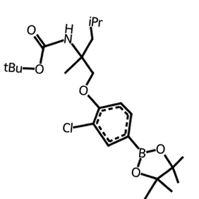 CC(C)CC(C)(COc1ccc(B2OC(C)(C)C(C)(C)O2)cc1Cl)NC(=O)OC(C)(C)C